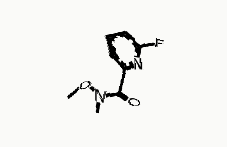 CON(C)C(=O)c1cccc(F)n1